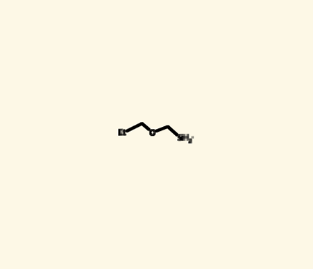 CCCOC[SiH2]